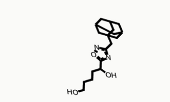 OCCCCC(O)c1nc(CC23CC4CC(CC(C4)C2)C3)no1